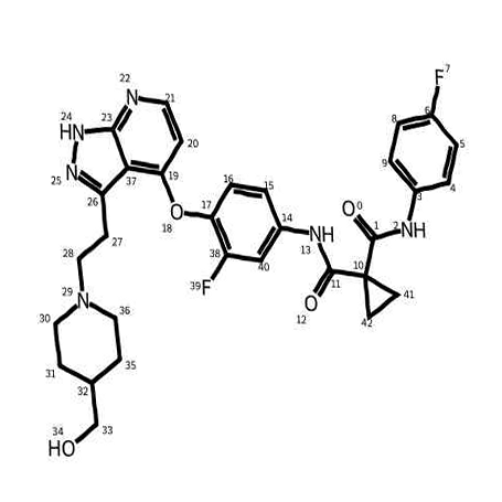 O=C(Nc1ccc(F)cc1)C1(C(=O)Nc2ccc(Oc3ccnc4[nH]nc(CCN5CCC(CO)CC5)c34)c(F)c2)CC1